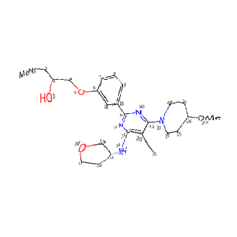 CNCC(O)COc1cccc(-c2nc(N[C@@H]3CCOC3)c(C)c(N3CCC(OC)CC3)n2)c1